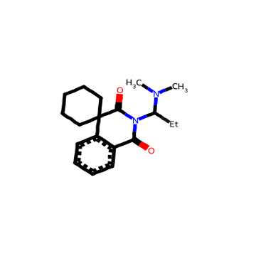 CCC(N(C)C)N1C(=O)c2ccccc2C2(CCCCC2)C1=O